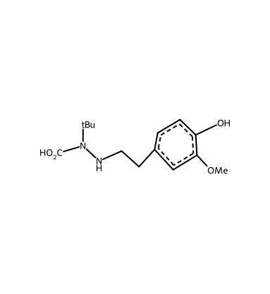 COc1cc(CCNN(C(=O)O)C(C)(C)C)ccc1O